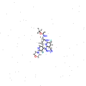 C=C(N[C@@H](C)[C@H](Nc1nc(N(N)c2ccnc(N3CCOCC3)c2F)c(C#N)cc1F)C1CC1)OC(C)(C)C